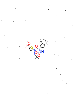 COC(=O)c1ccc(NC(=O)C(NC(=O)OC(C)(C)C)c2ccc3c(c2)C(C)(C)CCC3(C)C)s1